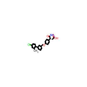 Cc1cc(Cl)ccc1-c1cccc(COc2ccc([C@@H](CC(=O)O)C(N)=O)cc2)c1